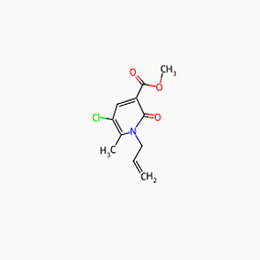 C=CCn1c(C)c(Cl)cc(C(=O)OC)c1=O